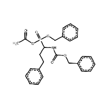 CC(=O)OP(=O)(OCc1ccccc1)C(CCc1ccccc1)NC(=O)OCc1ccccc1